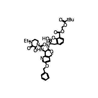 CCN1CCN(C(=O)NC(C(=O)N[C@H]2Cc3cccc(C(=O)OCOC(=O)C(C)(C)C)c3OB2O)c2ncc(OCc3ccccc3)cc2F)C(=O)C1=O